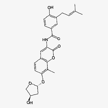 CC(C)=CCc1cc(C(=O)Nc2cc3ccc(O[C@@H]4C[C@@H](O)CO4)c(C)c3oc2=O)ccc1O